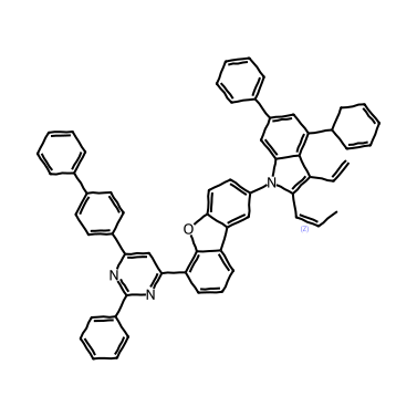 C=Cc1c(/C=C\C)n(-c2ccc3oc4c(-c5cc(-c6ccc(-c7ccccc7)cc6)nc(-c6ccccc6)n5)cccc4c3c2)c2cc(-c3ccccc3)cc(C3C=CC=CC3)c12